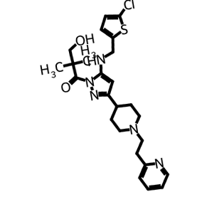 CC(C)(CO)C(=O)n1nc(C2CCN(CCc3ccccn3)CC2)cc1NCc1ccc(Cl)s1